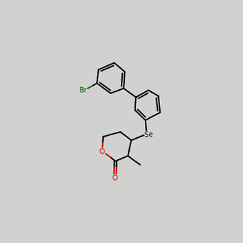 CC1C(=O)OCCC1[Se]c1cccc(-c2cccc(Br)c2)c1